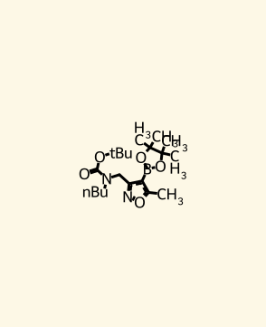 CCCCN(Cc1noc(C)c1B1OC(C)(C)C(C)(C)O1)C(=O)OC(C)(C)C